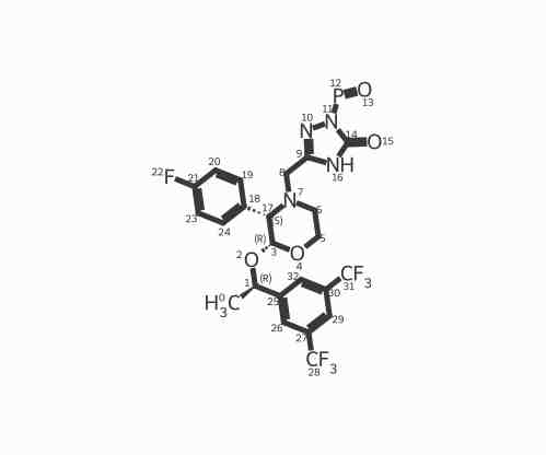 C[C@@H](O[C@H]1OCCN(Cc2nn(P=O)c(=O)[nH]2)[C@H]1c1ccc(F)cc1)c1cc(C(F)(F)F)cc(C(F)(F)F)c1